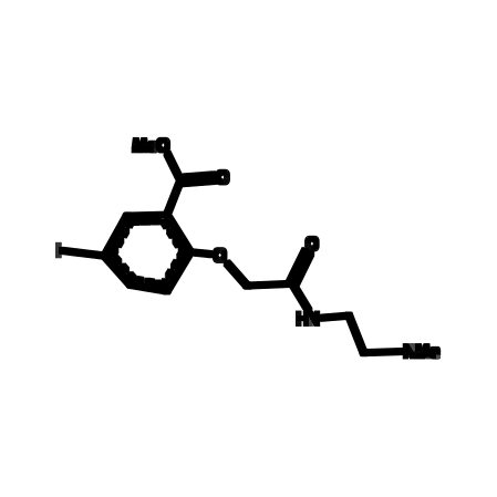 CNCCNC(=O)COc1ccc(I)cc1C(=O)OC